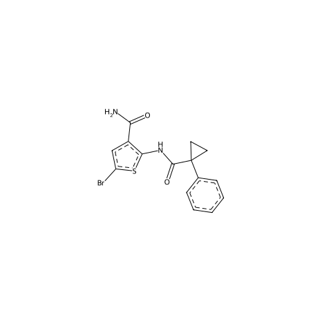 NC(=O)c1cc(Br)sc1NC(=O)C1(c2ccccc2)CC1